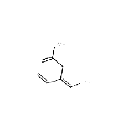 C=C/C(=C/OC)CC(=O)OC